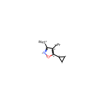 CSc1noc(C2CC2)c1C(C)C